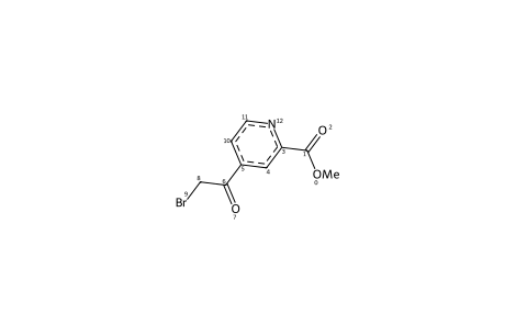 COC(=O)c1cc(C(=O)CBr)ccn1